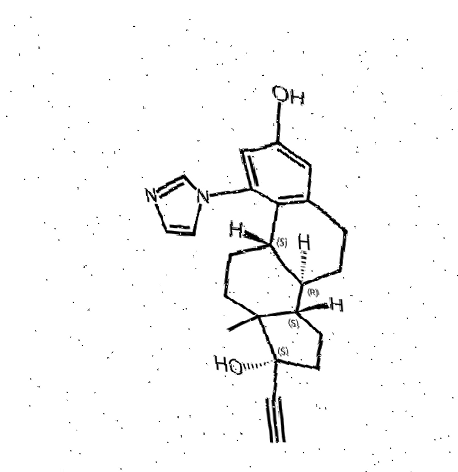 C#C[C@]1(O)CC[C@H]2[C@@H]3CCc4cc(O)cc(-n5ccnc5)c4[C@H]3CCC21C